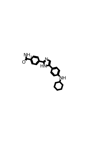 NC(=O)c1ccc(-c2ncc(-c3ccc(NC4CCCCC4)cc3)[nH]2)cc1